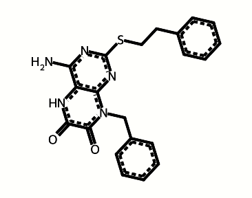 Nc1nc(SCCc2ccccc2)nc2c1[nH]c(=O)c(=O)n2Cc1ccccc1